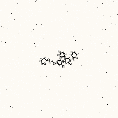 CC1CN(c2ccc(OCCOC3CCCCO3)cc2Cl)[C@H](c2ccc(F)cc2)CN1Cc1ccccc1